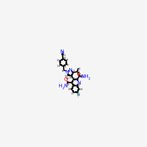 CC(C)c1nn(Cc2ccc(C#N)cc2)cc1-c1c(C(N)=O)nc2cc(F)ccc2c1C(N)=O